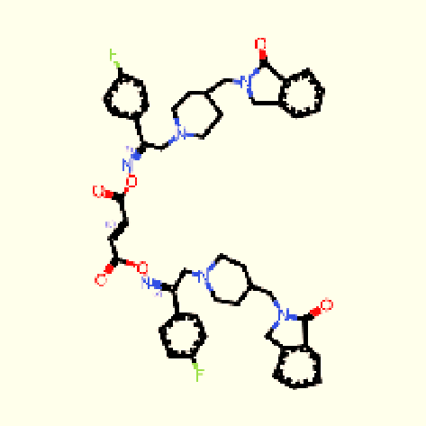 O=C(/C=C/C(=O)O/N=C(\CN1CCC(CN2Cc3ccccc3C2=O)CC1)c1ccc(F)cc1)O/N=C(\CN1CCC(CN2Cc3ccccc3C2=O)CC1)c1ccc(F)cc1